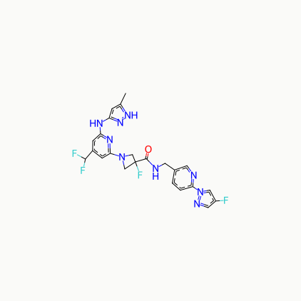 Cc1cc(Nc2cc(C(F)F)cc(N3CC(F)(C(=O)NCc4ccc(-n5cc(F)cn5)nc4)C3)n2)n[nH]1